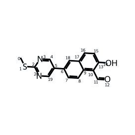 CSc1ncc(-c2ccc3c(C=O)c(O)ccc3c2)cn1